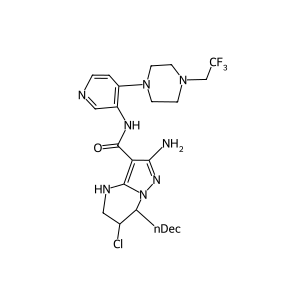 CCCCCCCCCCC1C(Cl)CNc2c(C(=O)Nc3cnccc3N3CCN(CC(F)(F)F)CC3)c(N)nn21